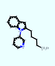 CCOC(=O)CCCCc1cc2ccccc2n1-c1cccnc1